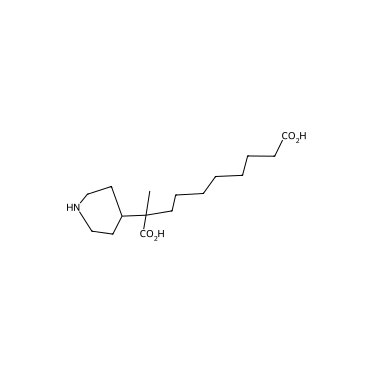 CC(CCCCCCCC(=O)O)(C(=O)O)C1CCNCC1